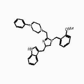 COc1ccccc1CN1CC(Cc2c[nH]c3ccccc23)N=C1CN1CCN(c2ccccc2)CC1